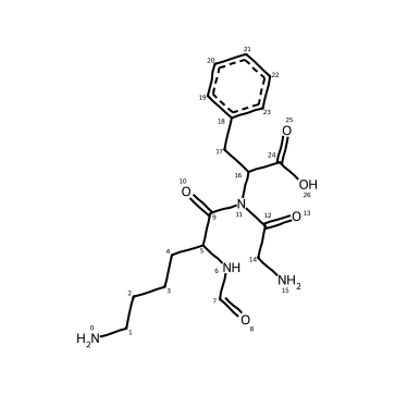 NCCCCC(NC=O)C(=O)N(C(=O)CN)C(Cc1ccccc1)C(=O)O